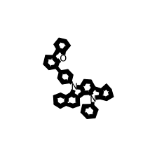 c1ccc(-n2c3ccccc3c3ccc4c(c5ccc6ccccc6c5n4-c4ccc(-c5cccc6c5oc5ccccc56)cc4)c32)cc1